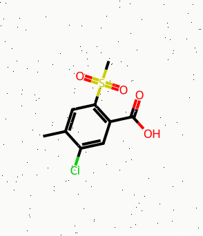 Cc1cc(S(C)(=O)=O)c(C(=O)O)cc1Cl